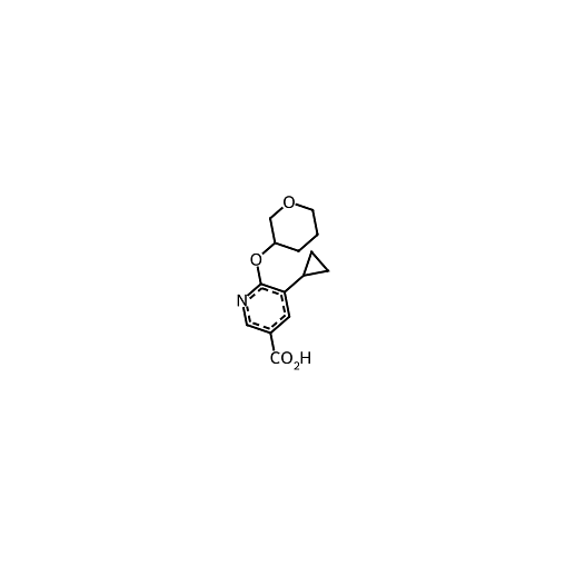 O=C(O)c1cnc(OC2CCCOC2)c(C2CC2)c1